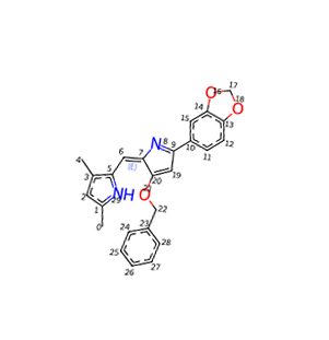 Cc1cc(C)c(/C=C2/N=C(c3ccc4c(c3)OCO4)C=C2OCc2ccccc2)[nH]1